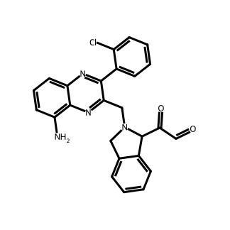 Nc1cccc2nc(-c3ccccc3Cl)c(CN3Cc4ccccc4C3C(=O)C=O)nc12